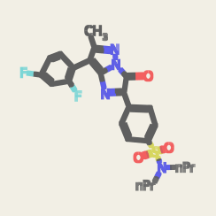 CCCN(CCC)S(=O)(=O)c1ccc(C2=Nc3c(-c4ccc(F)cc4F)c(C)nn3C2=O)cc1